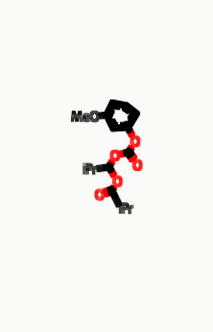 COc1cccc(OC(=O)OC(OC(=O)C(C)C)C(C)C)c1